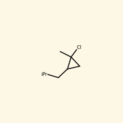 CC(C)C[C]1CC1(C)Cl